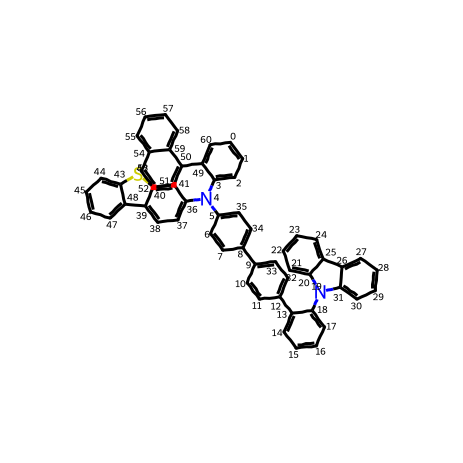 c1ccc(N(c2ccc(-c3ccc(-c4ccccc4-n4c5ccccc5c5ccccc54)cc3)cc2)c2ccc3c(c2)sc2ccccc23)c(-c2cccc3ccccc23)c1